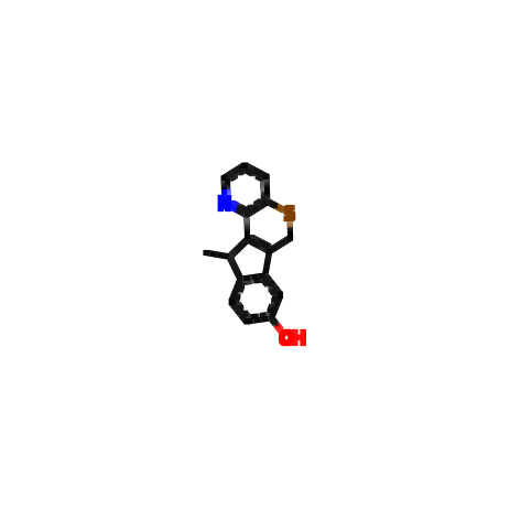 CC1C2=C(CSc3cccnc32)c2cc(O)ccc21